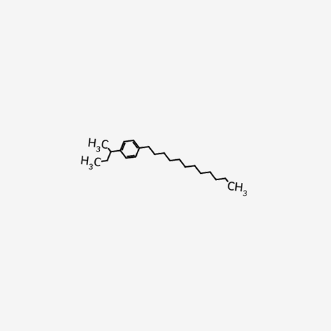 CCCCCCCCCCCCc1ccc(C(C)CC)cc1